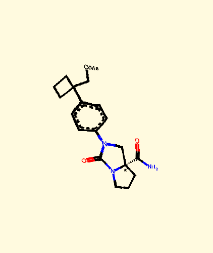 COCC1(c2ccc(N3C[C@@]4(C(N)=O)[CH]CCN4C3=O)cc2)CCC1